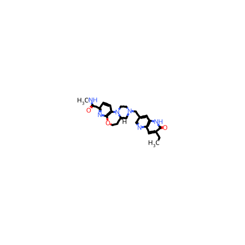 CCc1cc2ncc(CN3CCN4c5ccc(C(=O)NC)nc5OCC[C@H]4C3)cc2[nH]c1=O